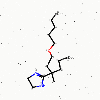 CCCCCCCCCCCCCCOCCC(C)(CCCCCCCCCCCC)C1=NCCN1